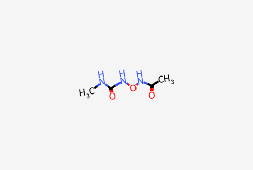 CNC(=O)NONC(C)=O